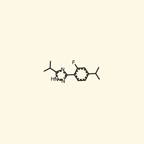 CC(C)c1ccc(-c2n[nH]c(C(C)C)n2)c(F)c1